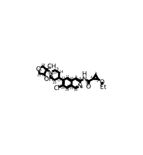 CCOC1CC1C(=O)Nc1cc2cc(C3CCN(C4(C)COCC4O)CC3)c(Cl)cc2cn1